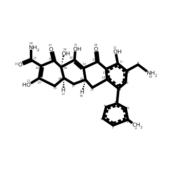 Cc1cccc(-c2cc(CN)c(O)c3c2C[C@H]2C[C@H]4CC(O)=C(C(N)=O)C(=O)[C@@]4(O)C(O)=C2C3=O)c1